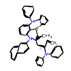 C=C/C(=C\C1=C(C)B2c3ccccc3N(c3ccccc3)c3cccc(c32)N1c1ccc2ccccc2c1)N(c1ccccc1)c1ccccc1